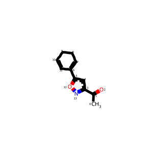 CC(=O)c1cc(C2=CCCC=C2)on1